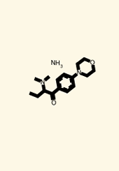 CCC(C(=O)c1ccc(N2CCOCC2)cc1)N(C)C.N